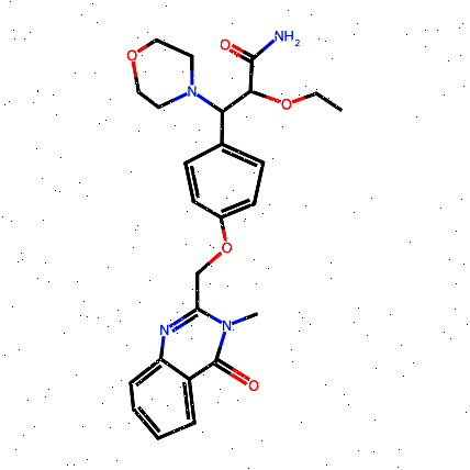 CCOC(C(N)=O)C(c1ccc(OCc2nc3ccccc3c(=O)n2C)cc1)N1CCOCC1